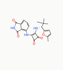 Cc1ccc([C@H](Nc2c(Nc3cccc4c3C(=O)NC4=O)c(=O)c2=O)C(C)(C)C)o1